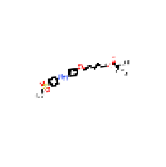 C=C(C)C(=O)OCCCCCCOc1ccc(N=Nc2ccc(S(=O)(=O)C[C@H](C)CC)cc2)cc1